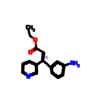 CCOC(=O)/C=C(\c1cccnc1)c1cccc(N)c1